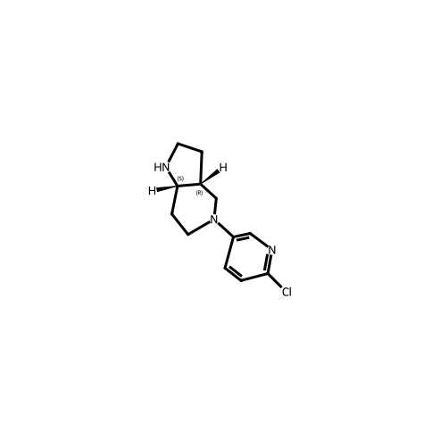 Clc1ccc(N2CC[C@@H]3NCC[C@@H]3C2)cn1